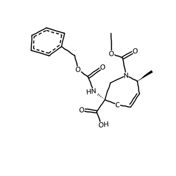 COC(=O)N1C[C@](NC(=O)OCc2ccccc2)(C(=O)O)CC=C[C@@H]1C